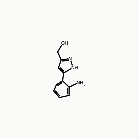 Nc1ccccc1-c1cc(CO)n[nH]1